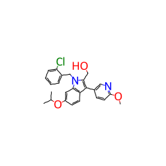 COc1ccc(-c2c(CO)n(Cc3ccccc3Cl)c3cc(OC(C)C)ccc23)cn1